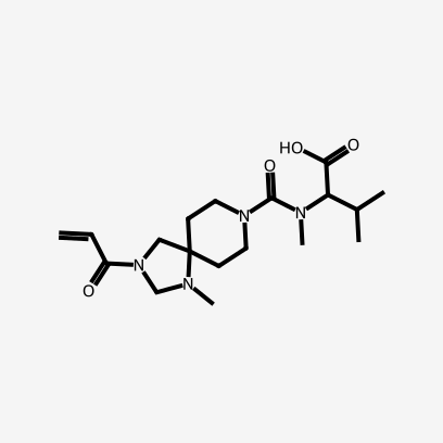 C=CC(=O)N1CN(C)C2(CCN(C(=O)N(C)C(C(=O)O)C(C)C)CC2)C1